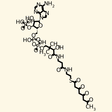 CC(=O)CC(=O)CC(=O)CC(=O)SCCNC(=O)CCNC(=O)[C@H](O)C(C)(C)COP(=O)(O)OP(=O)(O)OC[C@H]1O[C@@H](n2cnc3c(N)ncnc32)[C@H](O)[C@@H]1OP(=O)(O)O